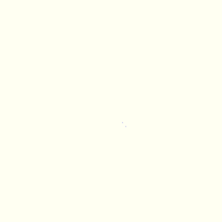 c1ccc2c(c1)cc(-n1c3ccccc3c3ccc4c5ccccc5sc4c31)c1ccccc12